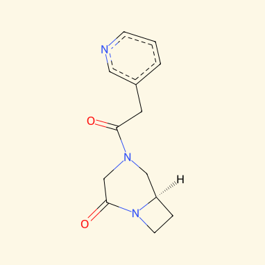 O=C(Cc1cccnc1)N1CC(=O)N2CC[C@@H]2C1